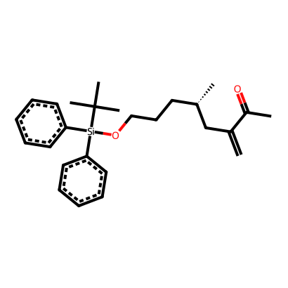 C=C(C[C@@H](C)CCCO[Si](c1ccccc1)(c1ccccc1)C(C)(C)C)C(C)=O